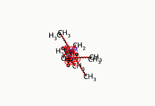 C=CCOC(=O)O[C@@H]1[C@@H](NC(=O)C[C@@H](CCCCCCCCCCCC(C)C)OCc2ccccc2)[C@H](O[Si](C)(C)CCCCCC)O[C@H](CO[C@@H]2O[C@@H]3COC(c4ccccc4)O[C@H]3[C@H](OC(=O)CCC(C)=O)[C@H]2NC(=O)C[C@@H](CCCCCCCCCCCC(C)C)OC(=O)CCCCCCCCCCCCCCC)[C@H]1OCc1ccccc1